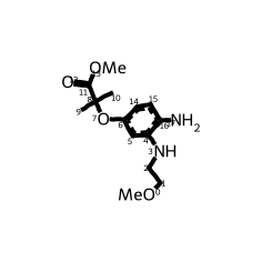 COCCNc1cc(OC(C)(C)C(=O)OC)ccc1N